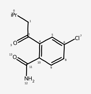 CC(C)CC(=O)c1cc(Cl)ccc1C(N)=O